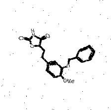 COc1ccc(CCC2OC(=O)NC2=O)cc1OCc1ccccc1